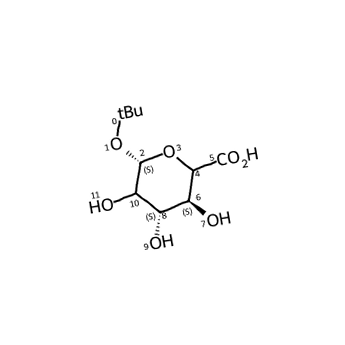 CC(C)(C)O[C@@H]1OC(C(=O)O)[C@@H](O)[C@H](O)C1O